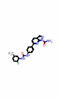 NC(=O)n1n[c]c2ccc(-c3ccc(NC(=O)Nc4cc(C(F)(F)F)ccc4F)cc3)nc21